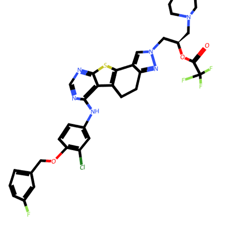 O=C(O[C@H](CN1CCCCC1)Cn1cc2c(n1)CCc1c-2sc2ncnc(Nc3ccc(OCc4cccc(F)c4)c(Cl)c3)c12)C(F)(F)F